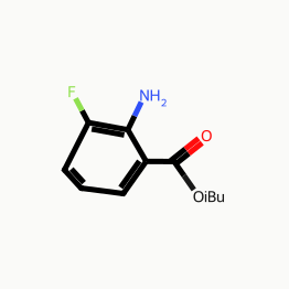 CC(C)COC(=O)c1cccc(F)c1N